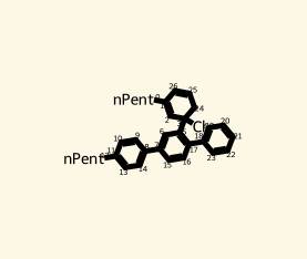 CCCCCC1=CC(Cl)(c2cc(-c3ccc(CCCCC)cc3)ccc2-c2ccccc2)CC=C1